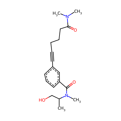 CC(CO)N(C)C(=O)c1cccc(C#CCCCC(=O)N(C)C)c1